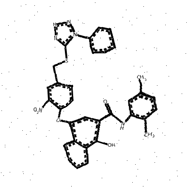 Cc1ccc(C)c(NC(=O)c2cc(Oc3ccc(CSc4nnnn4-c4ccccc4)cc3[N+](=O)[O-])c3ccccc3c2O)c1